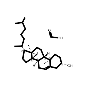 CC(C)CCCC(C)[C@H]1CC[C@H]2[C@@H]3CC=C4C[C@@H](O)CC[C@]4(C)[C@H]3CC[C@]12C.O=CO